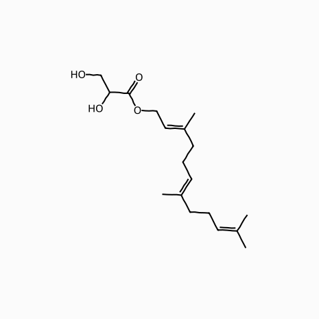 CC(C)=CCCC(C)=CCCC(C)=CCOC(=O)C(O)CO